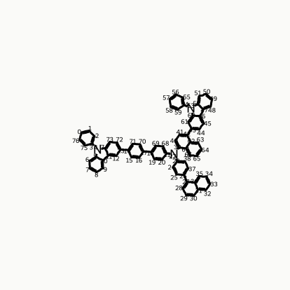 c1ccc(-n2c3ccccc3c3cc(-c4ccc(-c5ccc(N(c6ccc(-c7cccc8ccccc78)cc6)c6ccc(-c7ccc8c9ccccc9n(-c9ccccc9)c8c7)c7ccccc67)cc5)cc4)ccc32)cc1